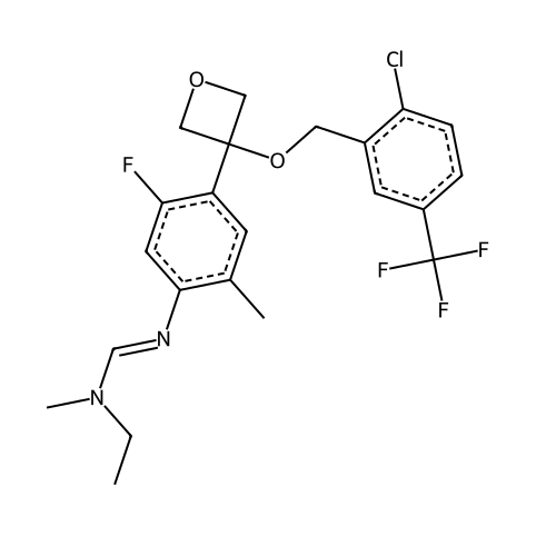 CCN(C)C=Nc1cc(F)c(C2(OCc3cc(C(F)(F)F)ccc3Cl)COC2)cc1C